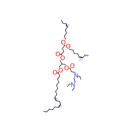 CC/C=C\CCCCOC(CCC(=O)OCC(COC(=O)CCCCCCC/C=C\C/C=C\CCCCC)COC(=O)CCN(CC)CCN(CC)CC)OCCCC/C=C\CC